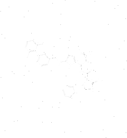 Cc1cccc(C)c1-c1cccc(COc2ccc(C(CC(=O)N3C(=O)OC[C@@H]3Cc3ccccc3)C[N+](=O)[O-])s2)c1